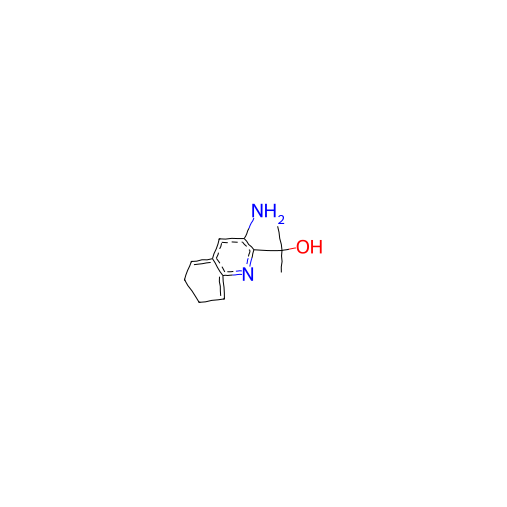 CC(C)(O)c1nc2c(cc1N)=CCCC=2